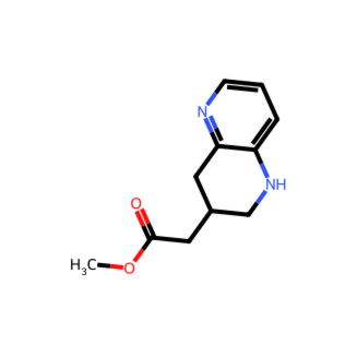 COC(=O)CC1CNc2cccnc2C1